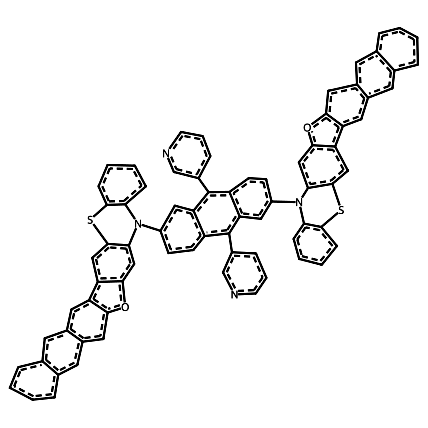 c1cncc(-c2c3ccc(N4c5ccccc5Sc5cc6c(cc54)oc4cc5cc7ccccc7cc5cc46)cc3c(-c3cccnc3)c3ccc(N4c5ccccc5Sc5cc6c(cc54)oc4cc5cc7ccccc7cc5cc46)cc23)c1